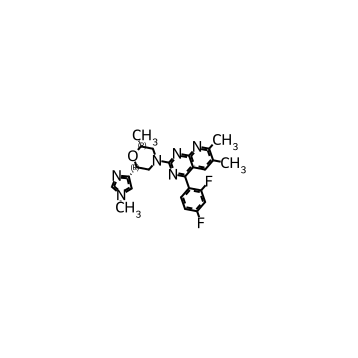 Cc1cc2c(-c3ccc(F)cc3F)nc(N3C[C@@H](C)O[C@@H](c4cn(C)cn4)C3)nc2nc1C